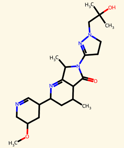 COC1CN=CC(C2CC(C)C3C(=O)N(C4=NN(CC(C)(C)O)CC4)C(C)C3=N2)C1